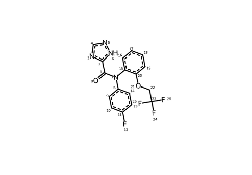 O=C(c1ncn[nH]1)N(c1ccc(F)cc1)c1ccccc1OCC(F)(F)F